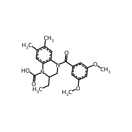 CCC1CN(C(=O)c2cc(OC)cc(OC)c2)c2cc(C)c(C)cc2N1C(=O)O